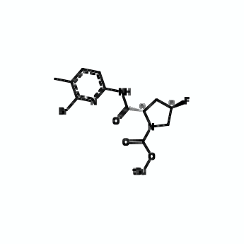 Cc1ccc(NC(=O)[C@@H]2C[C@@H](F)CN2C(=O)OC(C)(C)C)nc1Br